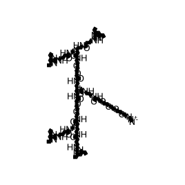 C=Cc1cc(C=C)nc(NCCCC(=O)NCCN(CCNC(=O)CCCNc2nc(C=C)cc(C=C)n2)CC(=O)NCCOCCOCC(=O)NCCN(CCNC(=O)COCCOCCNC(=O)CN(CCNC(=O)CCCNc2nc(C=C)cc(C=C)n2)CCNC(=O)CCCNc2nc(C=C)cc(C=C)n2)CC(=O)NCCCNC(=O)CCOCCOCCOCCOCCN=[N+]=[N-])n1